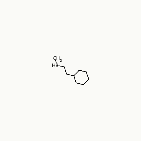 CBCCC1CCCCC1